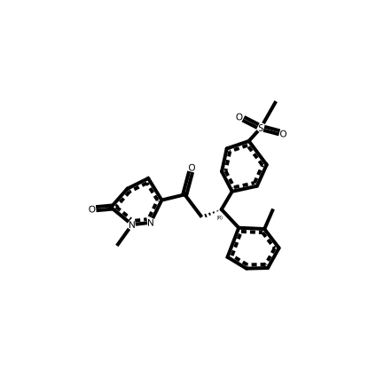 Cc1ccccc1[C@H](CC(=O)c1ccc(=O)n(C)n1)c1ccc(S(C)(=O)=O)cc1